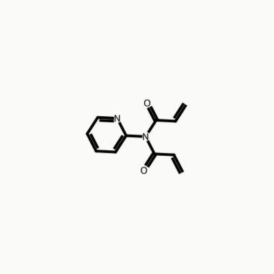 C=CC(=O)N(C(=O)C=C)c1ccccn1